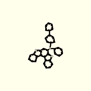 c1ccc(-c2ccc(N(c3ccccc3)c3cc4oc5ccccc5c4c4c3oc3ccccc34)cc2)cc1